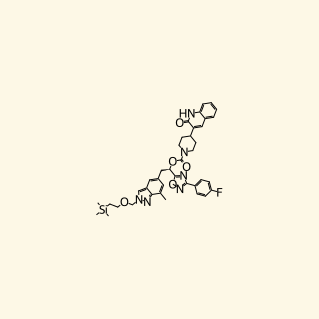 Cc1cc(C[C@@H](OC(=O)N2CCC(c3cc4ccccc4[nH]c3=O)CC2)c2nc(-c3ccc(F)cc3)no2)cc2cn(COCC[Si](C)(C)C)nc12